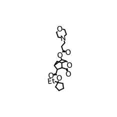 CCC1(OC(=O)C2C3CC4C(OC(=O)C42)C3OC(=O)CCN2CCOCC2)CCCC1